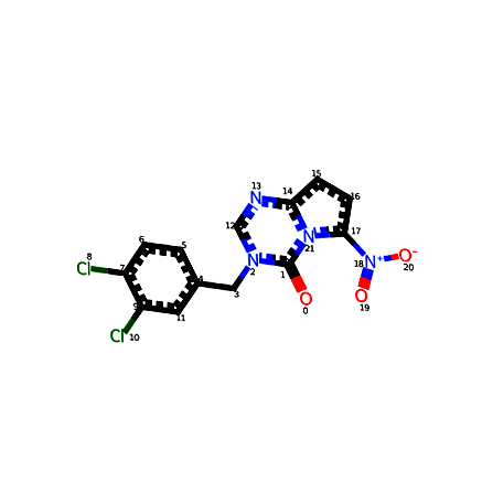 O=c1n(Cc2ccc(Cl)c(Cl)c2)cnc2ccc([N+](=O)[O-])n12